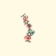 C=C(C)C(=O)Oc1ccc(-c2ccc(C#Cc3ccc(OC(=O)C(=C)C)cc3C(F)(F)F)o2)cc1